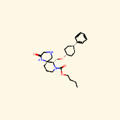 CCCCOC(=O)N1CCC[C@@]2(CNCC(=O)N2)[C@@H]1CO[C@H]1CC[C@@H](c2ccccc2)CC1